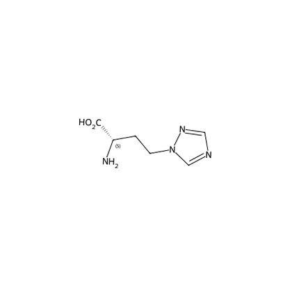 N[C@@H](CCn1cncn1)C(=O)O